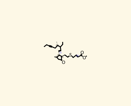 CCC#CC[C@H](C)C(/C=C/[C@H]1[C@H](C)CC(=O)[C@@H]1CCSC/C=C/C(=O)OC)CC